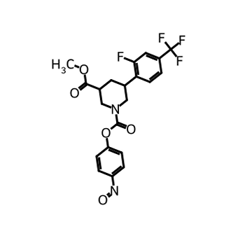 COC(=O)C1CC(c2ccc(C(F)(F)F)cc2F)CN(C(=O)Oc2ccc(N=O)cc2)C1